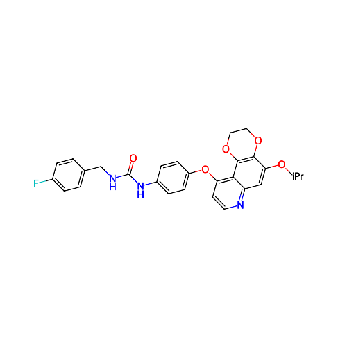 CC(C)Oc1cc2nccc(Oc3ccc(NC(=O)NCc4ccc(F)cc4)cc3)c2c2c1OCCO2